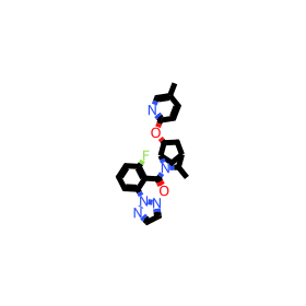 Cc1ccc(OC2CC3CC2N(C(=O)c2c(F)cccc2-n2nccn2)C3C)nc1